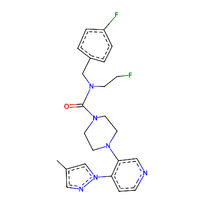 Cc1cnn(-c2ccncc2N2CCN(C(=O)N(CCF)Cc3ccc(F)cc3)CC2)c1